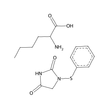 CCCCC(N)C(=O)O.O=C1CN(Sc2ccccc2)C(=O)N1